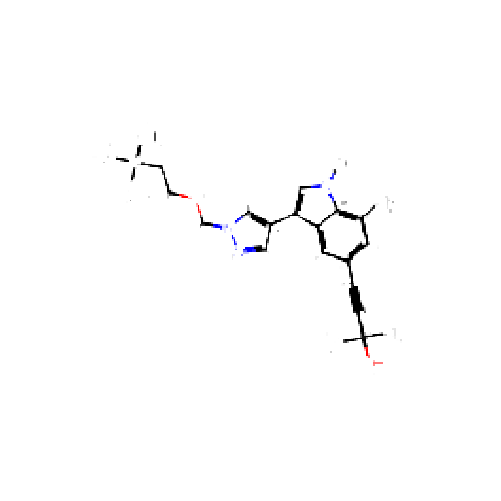 CCn1cc(-c2cnn(COCC[Si](C)(C)C)c2)c2cc(C#CC(C)(C)O)cc(C#N)c21